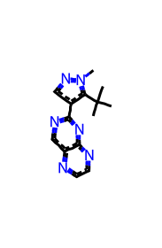 Cn1ncc(-c2ncc3nccnc3n2)c1C(C)(C)C